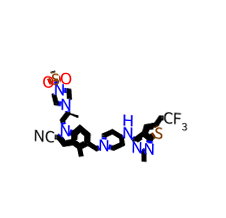 Cc1nc(NC2CCN(Cc3ccc4c(cc(C#N)n4C[C@H](C)N4CCN(S(C)(=O)=O)CC4)c3C)CC2)c2cc(CC(F)(F)F)sc2n1